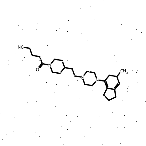 CC1C=C2CCCC2=C(N2CCN(CCC3CCN(C(=O)CCCC#N)CC3)CC2)C1